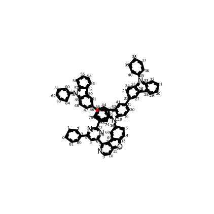 c1ccc(-c2cc(-c3nccc4oc5ccc(-n6c7ccc(-c8ccc9c(c8)c8ccccc8n9-c8ccccc8)cc7c7cc(-c8ccc9c(c8)c8ccccc8n9-c8ccccc8)ccc76)cc5c34)nc(-c3ccccc3)n2)cc1